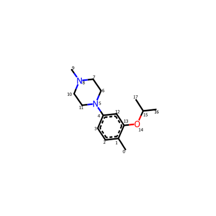 Cc1ccc(N2CCN(C)CC2)cc1OC(C)C